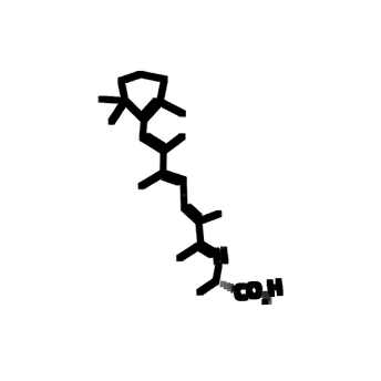 CC1=C(/C=C(C)/C(C)=C/C=C(C)/C(C)=N/[C@@H](C)C(=O)O)C(C)(C)CCC1